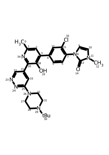 Cc1cc(-c2ccc(-n3ccn(C)c3=O)c(Cl)c2)c(O)c(-c2cnnc(N3CCN(C(C)(C)C)CC3)c2)n1